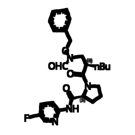 CCCC[C@H](CN(C=O)OCc1ccccc1)C(=O)N1CCC[C@H]1C(=O)Nc1ccc(F)cn1